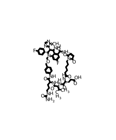 CC(C)[C@H](NC(=O)[C@H](CCC(=O)O)NC(=O)CCCCCN1C(=O)C=CC1=O)C(=O)NC(CCCNC(N)=O)C(=O)Nc1ccc(COCN2c3cc(F)cc(C(N)=O)c3C(=N)[C@H](c3ncnn3C)[C@H]2c2ccc(F)cc2)cc1